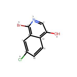 Oc1cnc(Br)c2cc(Cl)ccc12